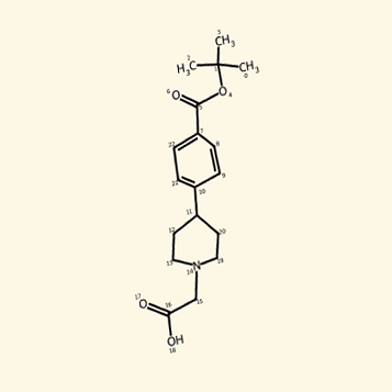 CC(C)(C)OC(=O)c1ccc(C2CCN(CC(=O)O)CC2)cc1